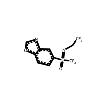 O=S(=NCC(F)(F)F)(c1ccc2ocnc2c1)C(F)(F)F